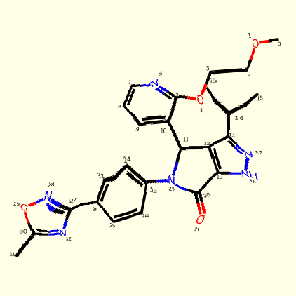 COCCOc1ncccc1C1c2c(C(C)C)n[nH]c2C(=O)N1c1ccc(-c2noc(C)n2)cc1